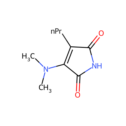 CCCC1=C(N(C)C)C(=O)NC1=O